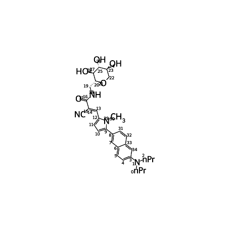 CCCN(CCC)c1ccc2cc(-c3ccc(/C=C(\C#N)C(=O)NC[C@H]4OC[C@H](O)[C@@H](O)[C@@H]4O)n3C)ccc2c1